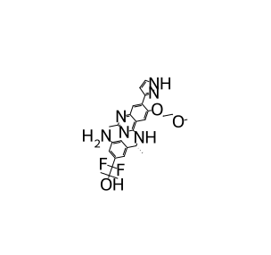 COCCOc1cc2c(N[C@H](C)c3cc(N)cc(C(F)(F)C(C)(C)O)c3)nc(C)nc2cc1-c1cc[nH]n1